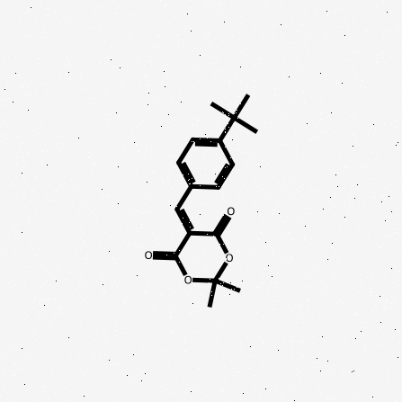 CC1(C)OC(=O)C(=Cc2ccc(C(C)(C)C)cc2)C(=O)O1